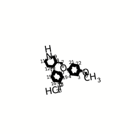 COc1ccc(OC[C@@H]2CNCC[C@H]2c2ccc(F)cc2)cc1.Cl